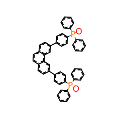 O=P(c1ccccc1)(c1ccccc1)c1ccc(-c2ccc3ccc4ccc(-c5ccc(P(=O)(c6ccccc6)c6ccccc6)cc5)cc4c3c2)cc1